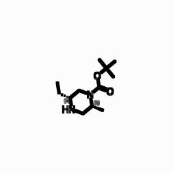 CC[C@@H]1CN(C(=O)OC(C)(C)C)[C@@H](C)CN1